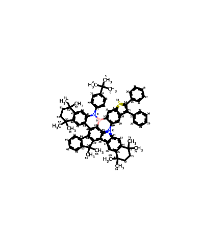 CC(C)(C)c1ccc(N2B3c4cc5sc(-c6ccccc6)c(-c6ccccc6)c5cc4-n4c5cc6c(cc5c5c7c(c(c3c54)-c3cc4c(cc32)C(C)(C)CCC4(C)C)-c2ccccc2C7(C)C)C(C)(C)CCC6(C)C)cc1